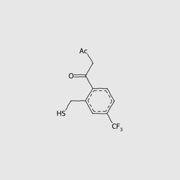 CC(=O)CC(=O)c1ccc(C(F)(F)F)cc1CS